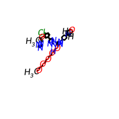 COCCOCCOCCOCCOc1nn(C2CCC(N3[C@@H]4CC[C@H]3COC4)CC2)cc1Nc1ncc(-c2ccc(Cl)c(O[C@@H](C)Cn3cncn3)c2)cn1